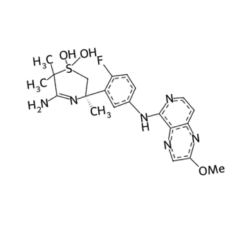 COc1cnc2c(Nc3ccc(F)c([C@]4(C)CS(O)(O)C(C)(C)C(N)=N4)c3)nccc2n1